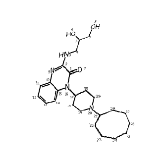 O=c1c(NCC(O)CO)nc2ccccc2n1C1CCN(C2CCCCCCC2)CC1